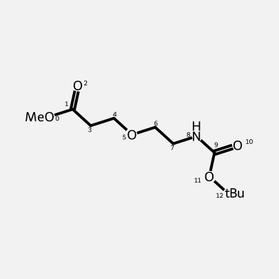 COC(=O)CCOCCNC(=O)OC(C)(C)C